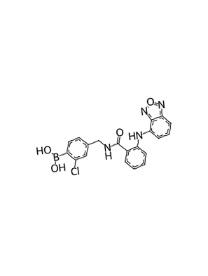 O=C(NCc1ccc(B(O)O)c(Cl)c1)c1ccccc1Nc1cccc2nonc12